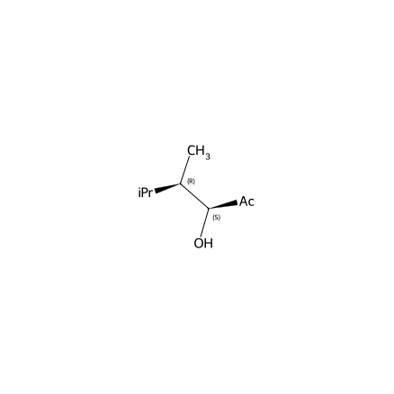 CC(=O)[C@@H](O)[C@H](C)C(C)C